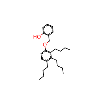 CCCCc1ccc(OCc2ccccc2O)c(CCCC)c1CCCC